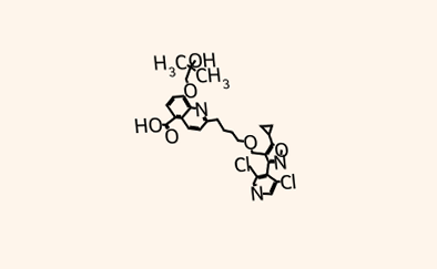 CC(C)(O)COc1ccc(C(=O)O)c2ccc(CCCCOCc3c(-c4c(Cl)cncc4Cl)noc3C3CC3)nc12